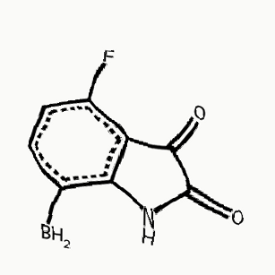 Bc1ccc(F)c2c1NC(=O)C2=O